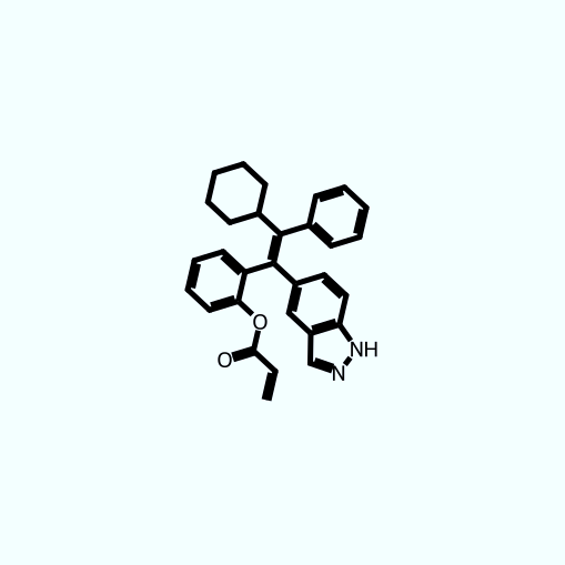 C=CC(=O)Oc1ccccc1/C(=C(/c1ccccc1)C1CCCCC1)c1ccc2[nH]ncc2c1